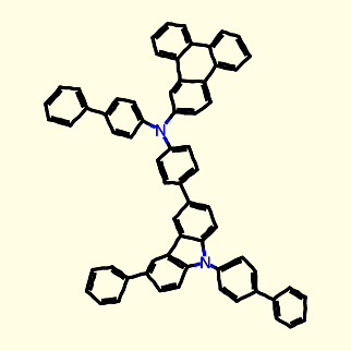 c1ccc(-c2ccc(N(c3ccc(-c4ccc5c(c4)c4cc(-c6ccccc6)ccc4n5-c4ccc(-c5ccccc5)cc4)cc3)c3ccc4c5ccccc5c5ccccc5c4c3)cc2)cc1